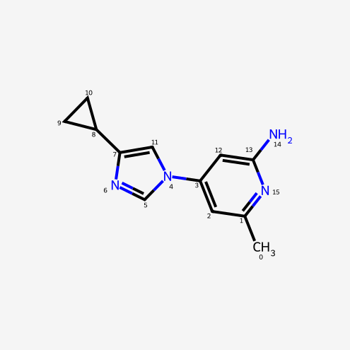 Cc1cc(-n2cnc(C3CC3)c2)cc(N)n1